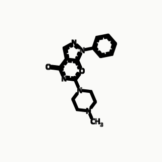 CN1CCN(c2nc(=O)c3cnn(-c4ccccc4)c3o2)CC1